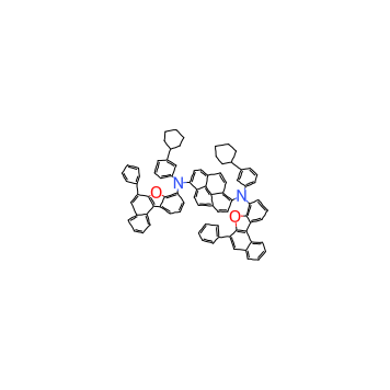 c1ccc(-c2cc3ccccc3c3c2oc2c(N(c4cccc(C5CCCCC5)c4)c4ccc5ccc6c(N(c7cccc(C8CCCCC8)c7)c7cccc8c7oc7c(-c9ccccc9)cc9ccccc9c78)ccc7ccc4c5c76)cccc23)cc1